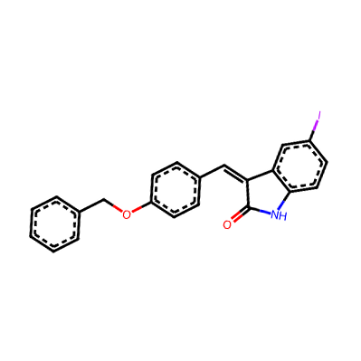 O=C1Nc2ccc(I)cc2C1=Cc1ccc(OCc2ccccc2)cc1